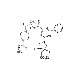 CCCCOC(=O)N1CCN(C(=O)C(C)NC(=O)c2cc(N3C[C@@H]4C(C(=O)OCC)[C@@H]4C3)nc(-c3ccccc3)n2)CC1